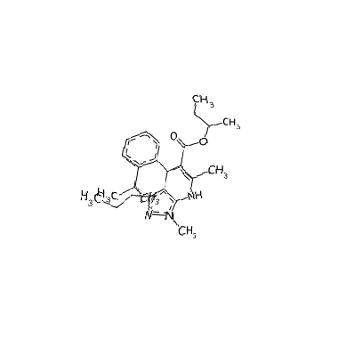 CCCc1nn(C)c2c1C(c1ccccc1C(C)C)C(C(=O)OC(C)CC)=C(C)N2